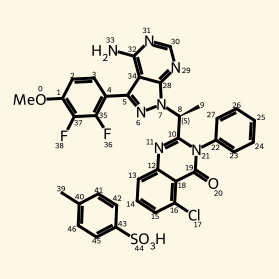 COc1ccc(-c2nn([C@@H](C)c3nc4cccc(Cl)c4c(=O)n3-c3ccccc3)c3ncnc(N)c23)c(F)c1F.Cc1ccc(S(=O)(=O)O)cc1